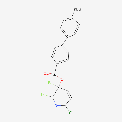 CCCCc1ccc(-c2ccc(C(=O)OC3(F)C=CC(Cl)=NC3F)cc2)cc1